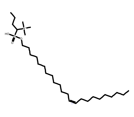 CCCCCCCCC/C=C\CCCCCCCCCCCCOP(=O)(O)C(CCC)[N+](C)(C)C